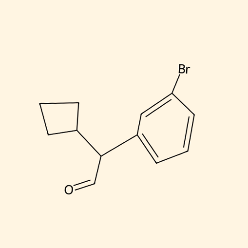 O=CC(c1cccc(Br)c1)C1CCC1